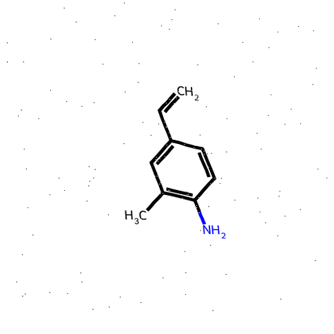 C=Cc1ccc(N)c(C)c1